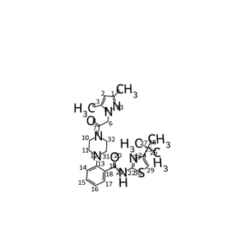 Cc1cc(C)n(CC(=O)N2CCN(c3ccccc3C(=O)Nc3nc(C(C)(C)C)cs3)CC2)n1